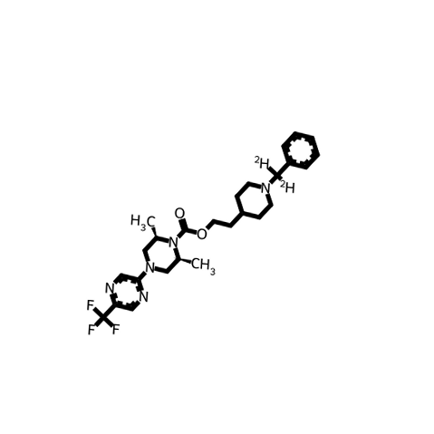 [2H]C([2H])(c1ccccc1)N1CCC(CCOC(=O)N2[C@H](C)CN(c3cnc(C(F)(F)F)cn3)C[C@@H]2C)CC1